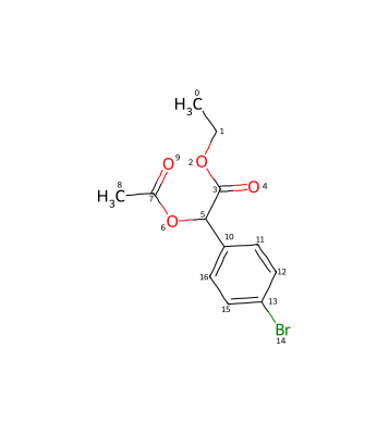 CCOC(=O)C(OC(C)=O)c1ccc(Br)cc1